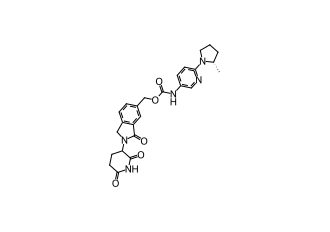 C[C@H]1CCCN1c1ccc(NC(=O)OCc2ccc3c(c2)C(=O)N(C2CCC(=O)NC2=O)C3)cn1